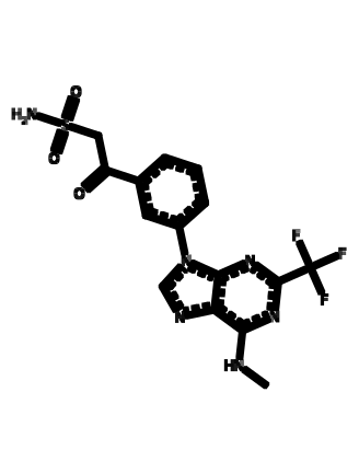 CNc1nc(C(F)(F)F)nc2c1ncn2-c1cccc(C(=O)CS(N)(=O)=O)c1